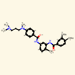 COc1ccc(C(=O)Nc2cc(NC(=O)c3ccc(N(C)CCCN(C)C)cc3)ccc2C)cc1OC